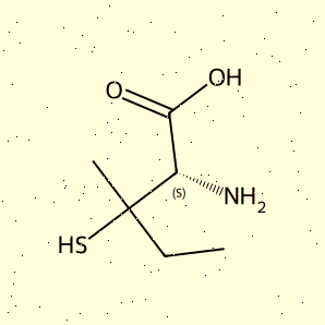 CCC(C)(S)[C@@H](N)C(=O)O